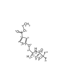 CCOC(=O)c1csc(OC[C@H](C)NS(=O)(=O)C(F)(F)F)c1